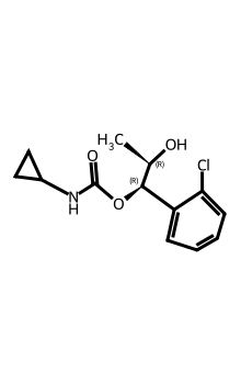 C[C@@H](O)[C@H](OC(=O)NC1CC1)c1ccccc1Cl